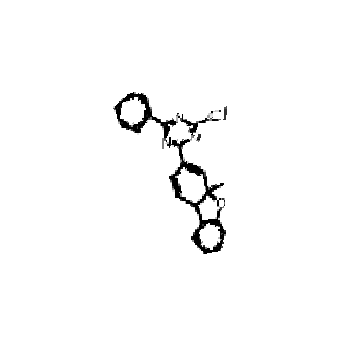 CC12C=C(c3nc(Cl)nc(-c4ccccc4)n3)C=CC1c1ccccc1O2